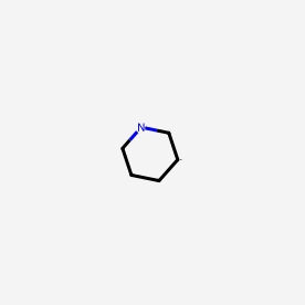 [CH]1CCC[N]C1